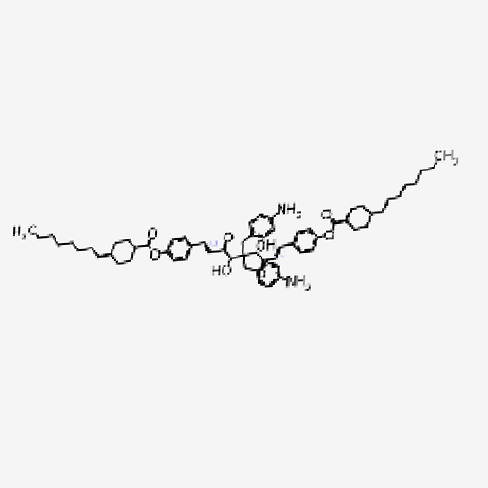 CCCCCCCCC1CCC(C(=O)Oc2ccc(/C=C/C(=O)C(O)C(Cc3ccc(N)cc3)(Cc3ccc(N)cc3)C(O)C(=O)/C=C/c3ccc(OC(=O)C4CCC(CCCCCCCC)CC4)cc3)cc2)CC1